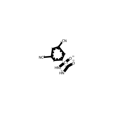 N#Cc1cccc(C#N)c1.N=C=O.N=C=O